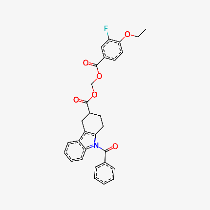 CCOc1ccc(C(=O)OCOC(=O)C2CCc3c(c4ccccc4n3C(=O)c3ccccc3)C2)cc1F